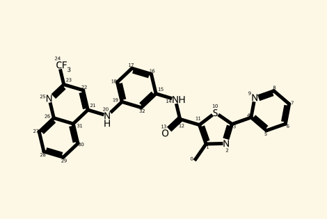 Cc1nc(-c2ccccn2)sc1C(=O)Nc1cccc(Nc2cc(C(F)(F)F)nc3ccccc23)c1